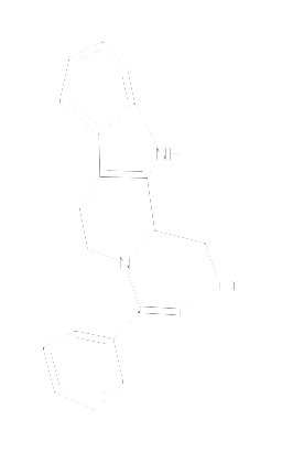 CC(C)CC1c2[nH]c3ccccc3c2CCN1C(=O)c1ccccc1